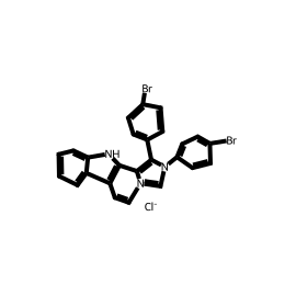 Brc1ccc(-c2c3c4[nH]c5ccccc5c4cc[n+]3cn2-c2ccc(Br)cc2)cc1.[Cl-]